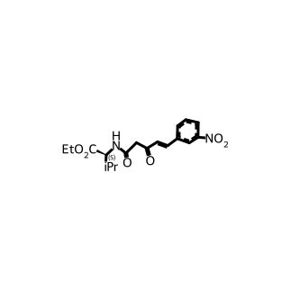 CCOC(=O)[C@@H](NC(=O)CC(=O)C=Cc1cccc([N+](=O)[O-])c1)C(C)C